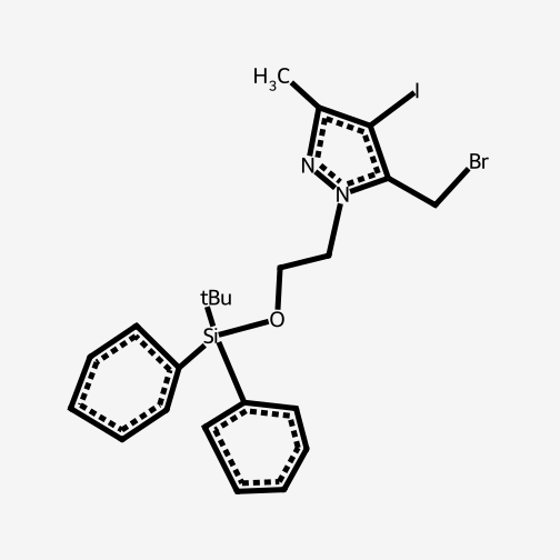 Cc1nn(CCO[Si](c2ccccc2)(c2ccccc2)C(C)(C)C)c(CBr)c1I